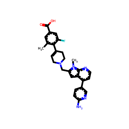 Cc1cc(C(=O)O)cc(F)c1C1=CCN(Cc2cc3c(-c4ccc(N)nc4)ccnc3n2C)CC1